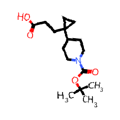 CC(C)(C)OC(=O)N1CCC(C2(CCC(=O)O)CC2)CC1